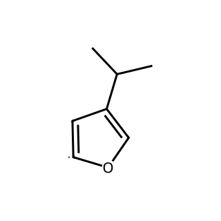 CC(C)c1c[c]oc1